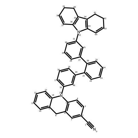 N#Cc1ccc2c(c1)Cc1ccccc1N2c1cccc(-c2ccccc2-c2cccc(-n3c4c(c5c3C=CCC5)CCC=C4)c2)c1